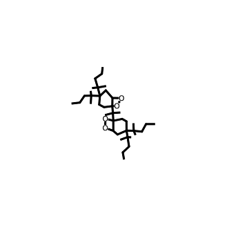 CCCC(C)(C)C1(C(C)(C)CCC)CCC2(C(C)(C)C34CCC(C(C)(C)CCC)(C(C)(C)CCC)CC3OO4)OOC2C1